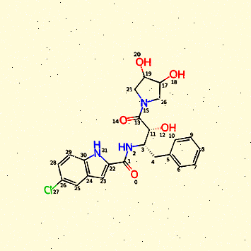 O=C(N[C@@H](Cc1ccccc1)[C@@H](O)C(=O)N1CC(O)C(O)C1)c1cc2cc(Cl)ccc2[nH]1